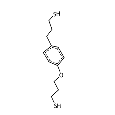 SCCCOc1ccc(CCCS)cc1